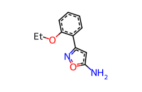 CCOc1ccccc1-c1cc(N)on1